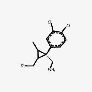 CC1C(CCl)[C@]1(CN)c1ccc(Cl)c(Cl)c1